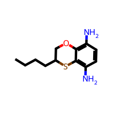 CCCCC1COc2c(N)ccc(N)c2S1